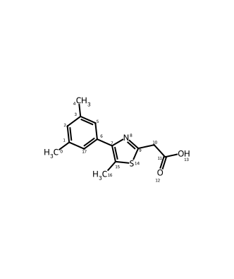 Cc1cc(C)cc(-c2nc(CC(=O)O)sc2C)c1